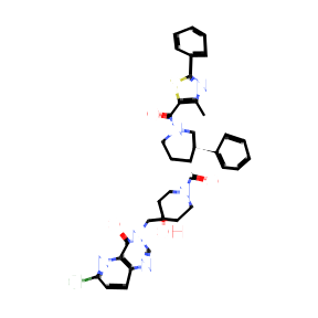 Cc1nc(-c2ccccc2)sc1C(=O)N1CC[C@@H](C(=O)N2CCC(O)(Cn3cnc4ccc(Cl)nc4c3=O)CC2)[C@H](c2ccccc2)C1